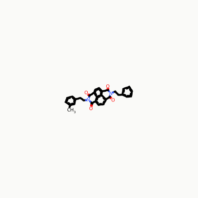 Cc1cccc(CCN2C(=O)c3ccc4c5c(ccc(c35)C2=O)C(=O)N(CCc2ccccc2)C4=O)c1